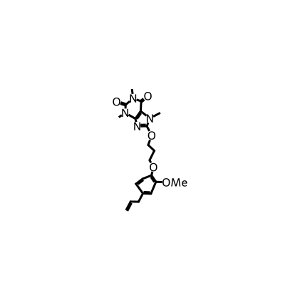 C=CCc1ccc(OCCCOc2nc3c(c(=O)n(C)c(=O)n3C)n2C)c(OC)c1